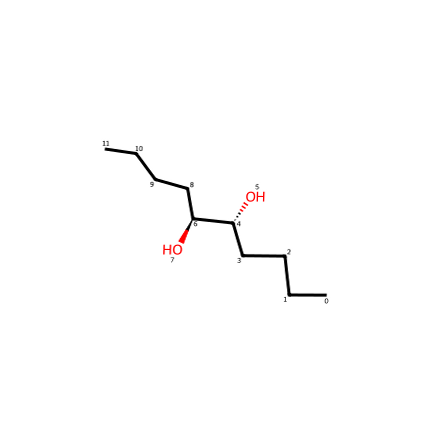 CCCC[C@@H](O)[C@@H](O)CCCC